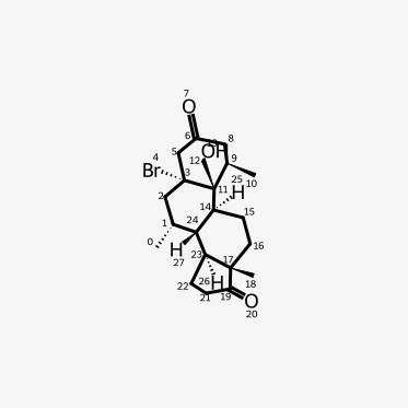 C[C@@H]1C[C@@]2(Br)CC(=O)C[C@@H](C)[C@]2(CO)[C@H]2CC[C@]3(C)C(=O)CC[C@H]3[C@H]12